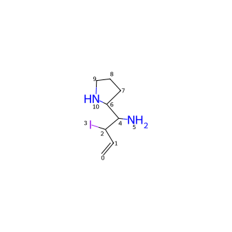 C=CC(I)C(N)C1CCCN1